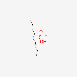 CCCCCCCCC.F.O=CO